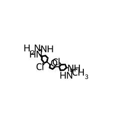 CC(=N)Nc1ccc(-c2ccc(-c3ccc(NC(=N)N)cc3Cl)o2)c(Cl)c1